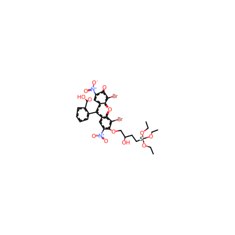 CCO[Si](CCC(O)COc1c([N+](=O)[O-])cc2c(-c3ccccc3C(=O)O)c3cc([N+](=O)[O-])c(=O)c(Br)c-3oc2c1Br)(OCC)OCC